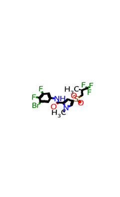 C[C@H](CS(=O)(=O)c1cc(C(=O)Nc2cc(F)c(F)c(Br)c2)n(C)c1)C(F)(F)F